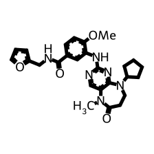 COc1ccc(C(=O)NCc2ccco2)cc1Nc1ncc2c(n1)N(C1CCCC1)CCC(=O)N2C